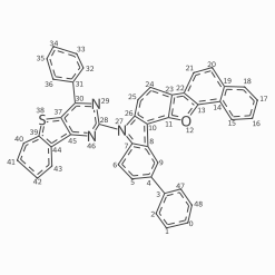 c1ccc(-c2ccc3c(c2)c2c4oc5c6ccccc6ccc5c4ccc2n3-c2nc(-c3ccccc3)c3sc4ccccc4c3n2)cc1